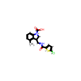 Cc1cccc2c1C(CNC(=O)c1ccc(Cl)s1)CN2C(=O)O